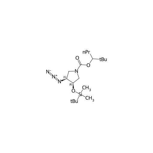 CCCC(OC(=O)N1C[C@H](N=[N+]=[N-])[C@H](O[Si](C)(C)C(C)(C)C)C1)C(C)(C)C